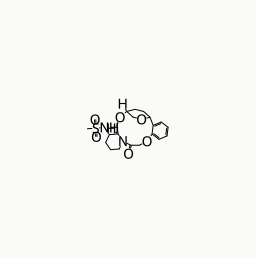 CS(=O)(=O)N[C@H]1CCCN2C(=O)COc3ccccc3C3CC[C@H](CO3)OC[C@@H]12